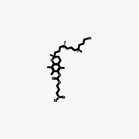 CCN(CC)CCCOC(=O)Oc1c(C)c(C)c2c(c1C)CC[C@@](C)(CCC[C@H](C)CCC[C@H](C)CCCC(C)C)O2